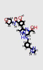 COc1ccc(-c2c(C)nn3c(NCc4cccc(-c5nccn5C)c4)cc(C(C)O)nc23)cc1C(=O)N(C)C1CCOCC1